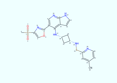 CS(=O)(=O)c1coc(-c2cnc3[nH]ccc3c2N[C@H]2C[C@@H](NSc3cc(C#N)ccn3)C2)n1